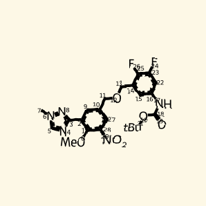 COc1c(-c2ncn(C)n2)cc(COCc2cc(NC(=O)OC(C)(C)C)cc(F)c2F)cc1[N+](=O)[O-]